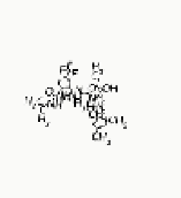 CCC[C@H](O)[C@H](CN(Cc1ccc(C)cc1C)C(C)C)NC(=O)CNC(=O)c1cc(C(F)(F)F)ccc1NC(=O)NC(C)C